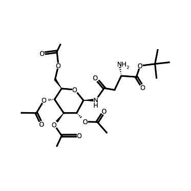 CC(=O)OC[C@H]1O[C@@H](NC(=O)C[C@H](N)C(=O)OC(C)(C)C)[C@H](OC(C)=O)[C@@H](OC(C)=O)[C@@H]1OC(C)=O